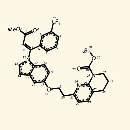 COC(=O)/C=C(\c1cccc(C(F)(F)F)c1)n1ccc2cc(OCCc3ccc4c(n3)N(C(=O)OC(C)(C)C)CCC4)ccc21